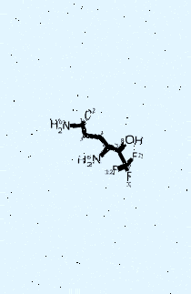 NC(=O)CCC(N)C(O)C(F)(F)F